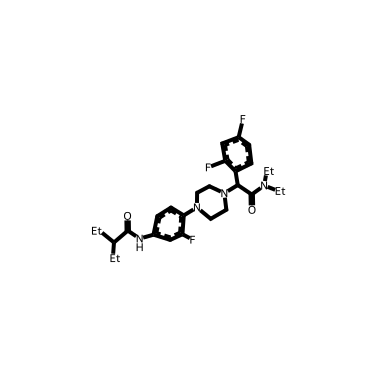 CCC(CC)C(=O)Nc1ccc(N2CCN(C(C(=O)N(CC)CC)c3ccc(F)cc3F)CC2)c(F)c1